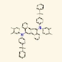 Cc1ccc(N(c2ccc(C(C)(C)c3ccccc3)cc2)c2cc3c4ccccc4c(N(c4ccc(C(C)(C)c5ccccc5)cc4)c4ccc(C)c(C)c4)cc3c3ccccc23)cc1C